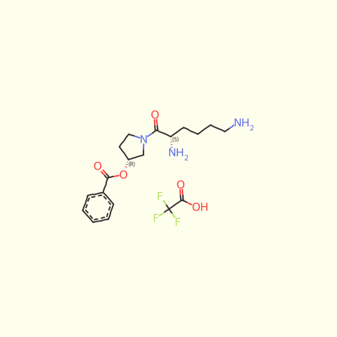 NCCCC[C@H](N)C(=O)N1CC[C@@H](OC(=O)c2ccccc2)C1.O=C(O)C(F)(F)F